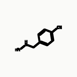 [CH2]CCNCc1ccc(C#N)cc1